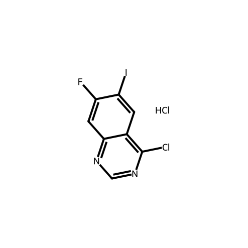 Cl.Fc1cc2ncnc(Cl)c2cc1I